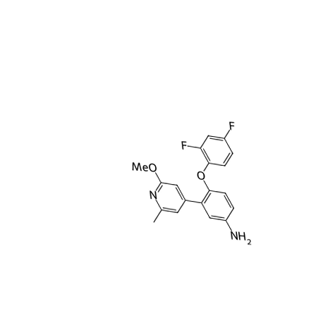 COc1cc(-c2cc(N)ccc2Oc2ccc(F)cc2F)cc(C)n1